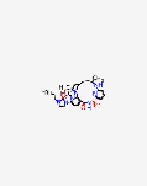 CC1CCC2CN(c3nc(N4CCN(CCC(C)(C)C)C4=O)ccc3C(=O)N[S+]([O-])c3cccc(n3)N1)C(C)(C)C2